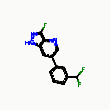 Fc1n[nH]c2cc(-c3cccc(C(F)F)c3)cnc12